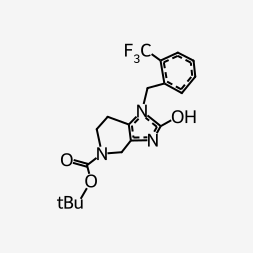 CC(C)(C)OC(=O)N1CCc2c(nc(O)n2Cc2ccccc2C(F)(F)F)C1